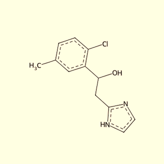 Cc1ccc(Cl)c(C(O)Cc2ncc[nH]2)c1